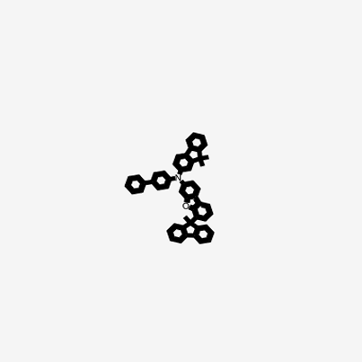 CC1(C)c2ccccc2-c2ccc(N(c3ccc(-c4ccccc4)cc3)c3ccc4c(c3)oc3c(C5(C)c6ccccc6-c6ccccc65)cccc34)cc21